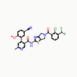 COc1ccc(C#N)cc1-c1cc(C)ncc1C(=O)Nc1nc2c(s1)CN(C(=O)c1cccc(C(F)F)c1Cl)C2